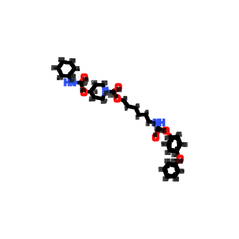 O=C(NCCCCCCOC(=O)N1CCC(OC(=O)NC2CCCCC2)CC1)Oc1ccc(Oc2ccccc2)cc1